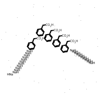 O=C(O)Cc1ccccc1.O=C(O)Cc1ccccc1.O=C(O)Cc1ccccc1.O=C(O)Cc1ccccc1.O=C(O)Cc1ccccc1.[NaH].[NaH].[NaH].[NaH].[NaH].[NaH].[NaH].[NaH].[NaH].[NaH].[NaH].[NaH].[NaH].[NaH].[NaH].[NaH].[NaH].[NaH].[NaH].[NaH].[NaH].[NaH]